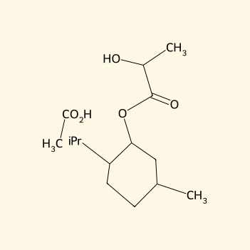 CC(=O)O.CC1CCC(C(C)C)C(OC(=O)C(C)O)C1